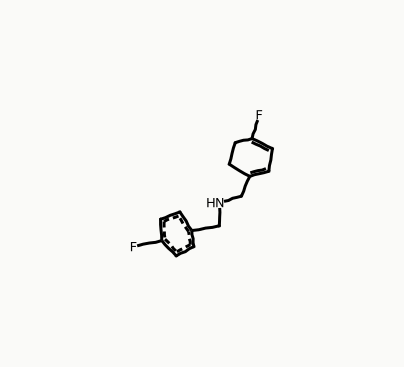 FC1=CC=C(CNCc2ccc(F)cc2)CC1